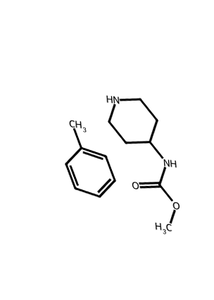 COC(=O)NC1CCNCC1.Cc1ccccc1